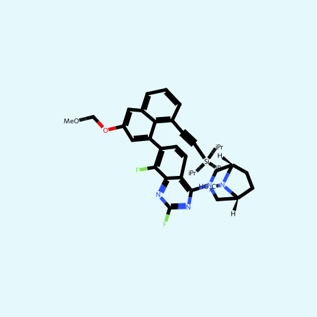 COCOc1cc(-c2ccc3c(N4C[C@H]5CC[C@@H](C4)N5C(=O)O)nc(F)nc3c2F)c2c(C#C[Si](C(C)C)(C(C)C)C(C)C)cccc2c1